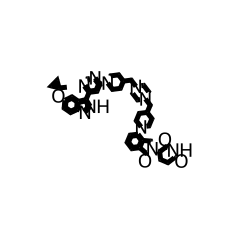 CC1(Oc2ccc3n[nH]c(-c4cc(N5CCC(CN6CCN(CC7CCN(c8cccc9c8CN(C8CCC(=O)NC8=O)C9=O)CC7)CC6)CC5)ncn4)c3c2)CC1